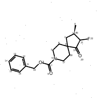 C[C@@H]1CC2(CCN(C(=O)OCc3ccccc3)CC2)C(=O)C1F